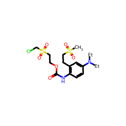 CCN(CC)c1ccc(NC(=O)OCCS(=O)(=O)CCl)c(CCS(C)(=O)=O)c1